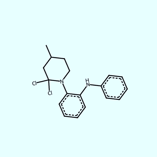 CC1CCN(c2ccccc2Nc2ccccc2)C(Cl)(Cl)C1